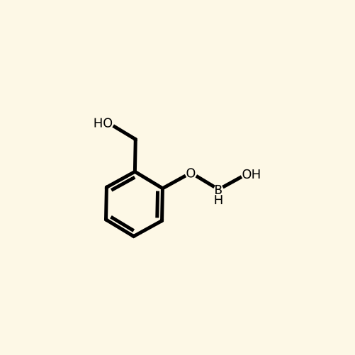 OBOc1ccccc1CO